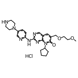 COCCOCc1cc2cnc(Nc3ccc(N4CCNCC4)cn3)nc2n(C2CCCC2)c1=O.Cl